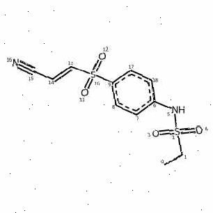 CCS(=O)(=O)Nc1ccc(S(=O)(=O)C=CC#N)cc1